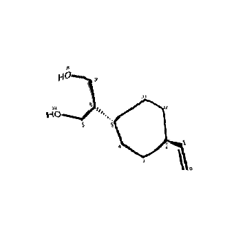 C=C[C@H]1CC[C@H](C(CO)CO)CC1